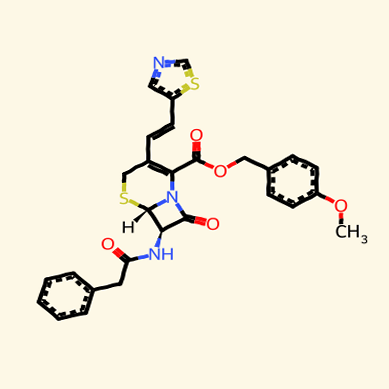 COc1ccc(COC(=O)C2=C(C=Cc3cncs3)CS[C@H]3[C@H](NC(=O)Cc4ccccc4)C(=O)N23)cc1